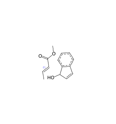 C/C=C/C(=O)OC.OC1C=Cc2ccccc21